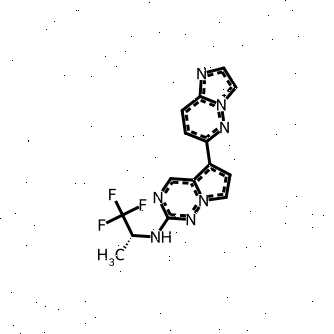 C[C@@H](Nc1ncc2c(-c3ccc4nccn4n3)ccn2n1)C(F)(F)F